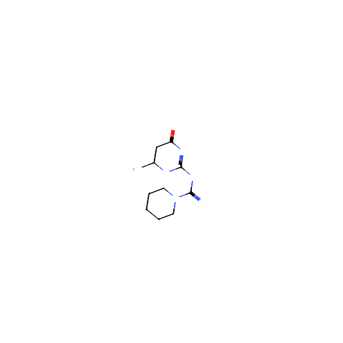 CC(C)C1CC(=O)N=C(NC(=N)N2CCCCC2)N1